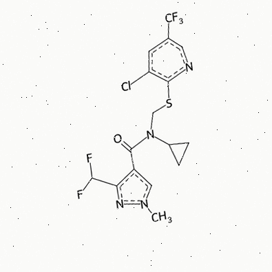 Cn1cc(C(=O)N(CSc2ncc(C(F)(F)F)cc2Cl)C2CC2)c(C(F)F)n1